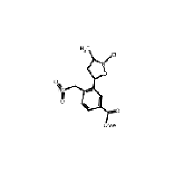 COC(=O)c1ccc(C[SH](=O)=O)c(C2CC(C)N(Cl)O2)c1